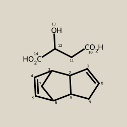 C1=CC2C3C=CC(C3)C2C1.O=C(O)CC(O)C(=O)O